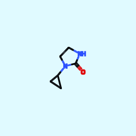 O=C1NCCN1C1CC1